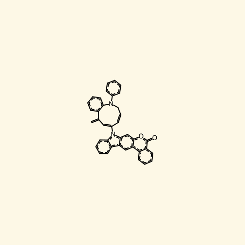 C=C1/C=C(n2c3ccccc3c3cc4c(cc32)oc(=O)c2ccccc24)\C=C/CN(c2ccccc2)c2ccccc21